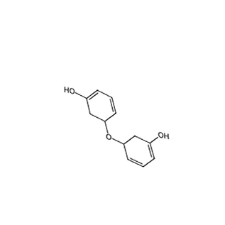 OC1=CC=CC(OC2C=CC=C(O)C2)C1